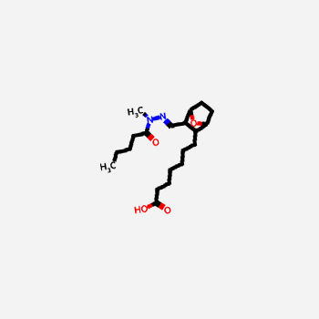 CCCCC(=O)N(C)N=CC1C2CCC(O2)C1CCCCCCC(=O)O